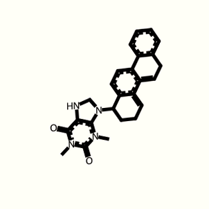 Cn1c2c(c(=O)n(C)c1=O)NCN2C1CCC=c2c1ccc1c2=CCc2ccccc2-1